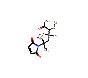 COC(=O)C(SC(C)=O)C(C)(C)CC(C)(C)N1C(=O)C=CC1=O